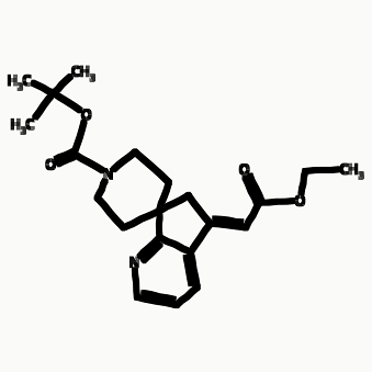 CCOC(=O)C=C1CC2(CCN(C(=O)OC(C)(C)C)CC2)c2ncccc21